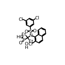 CCC(CC)(N(c1c(Cl)ccc2ccccc12)S(=O)(=O)c1cc(Cl)cc(Cl)c1)P(=O)(O)O